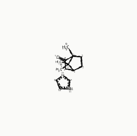 CC12CCC(CC1=O)C2(C)C.c1c[nH]cn1